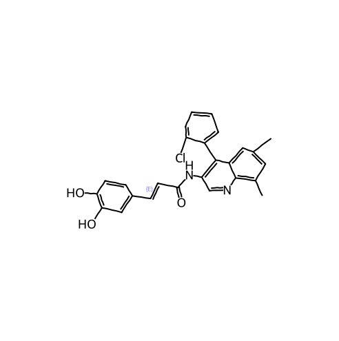 Cc1cc(C)c2ncc(NC(=O)/C=C/c3ccc(O)c(O)c3)c(-c3ccccc3Cl)c2c1